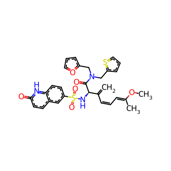 C=C(/C=C\C=C(/C)OC)[C@@H](NS(=O)(=O)c1ccc2[nH]c(=O)ccc2c1)C(=O)N(Cc1ccco1)Cc1cccs1